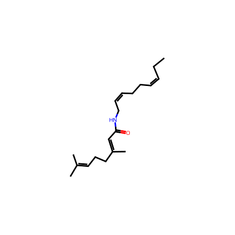 CC/C=C\CC/C=C\CNC(=O)/C=C(\C)CCC=C(C)C